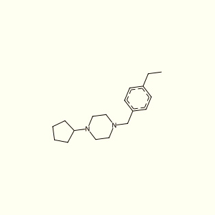 CCc1ccc(CN2CCN(C3CCCC3)CC2)cc1